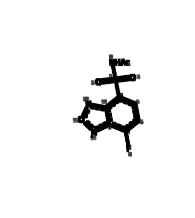 CC(=O)NS(=O)(=O)c1ccc(F)c2nonc12